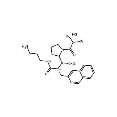 CC(C)C(C(=O)N1CCCC1N(C=O)[C@H](Cc1ccc2ccccc2c1)C(=O)NCCCN)C(C)C.Cl